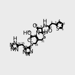 O=C(Cc1cccs1)N[C@@H]1C(=O)N2C(C(=O)O)=C(CSc3nnnn3Cc3nnn[nH]3)CS[C@@H]12